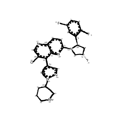 Fc1ccc(F)c([C@H]2C[C@H](F)CN2c2ccc3ncc(Cl)c(-c4cnn(C5CCCNC5)c4)c3n2)c1